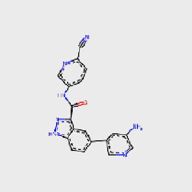 N#Cc1ccc(NC(=O)c2n[nH]c3ccc(-c4cncc(N)c4)cc23)cn1